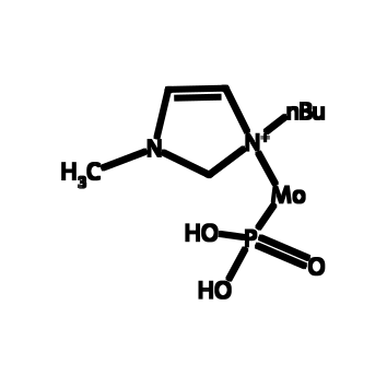 CCCC[N+]1([Mo][P](=O)(O)O)C=CN(C)C1